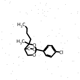 CCCCC1(C)OC2(c3ccc(Cl)cc3)OCC1CO2